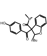 CCCCC1Oc2ccccc2C1(C(=O)c1ccc(O)cc1)C(=O)N(C)C